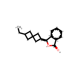 CCC1CC2(CC(=C3OC(=O)c4ccccc43)C2)C1